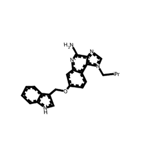 CC(C)Cn1cnc2c(N)nc3cc(OCc4c[nH]c5ccccc45)ccc3c21